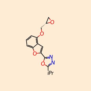 CC(C)c1nnc(-c2cc3c(OC[C@@H]4CO4)cccc3o2)o1